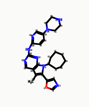 Cc1c(-c2cnco2)n(C2CCCCCC2)c2nc(Nc3ccc(N4CCNCC4)cn3)ncc12